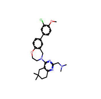 COc1ccc(-c2ccc3c(c2)CN(c2nc(CN(C)C)nc4c2CC(C)(C)CC4)CCO3)cc1Cl